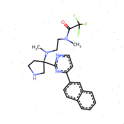 CN(CCN(C)[C@]1(c2nccc(-c3ccc4ccccc4c3)n2)CCNC1)C(=O)C(F)(F)F